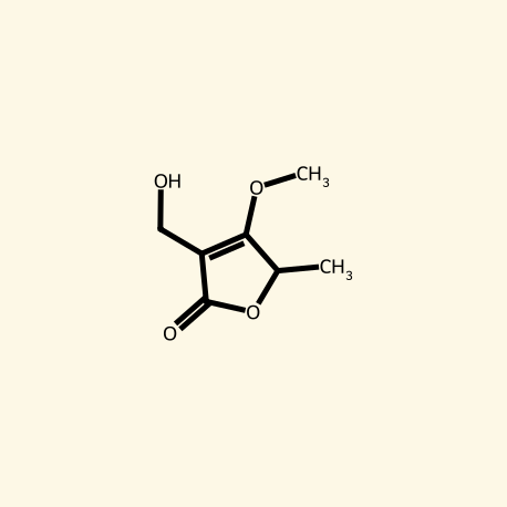 COC1=C(CO)C(=O)OC1C